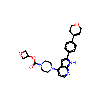 O=C(OC1COC1)N1CCN(c2ccnc3[nH]c(-c4ccc(C5=CCOCC5)cc4)cc23)CC1